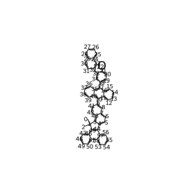 CC1(C)c2c(ccc3cc(-c4c5ccccc5c(-c5ccc6oc7c8ccccc8ccc7c6c5)c5ccccc45)ccc23)-c2c1c1ccccc1c1ccccc21